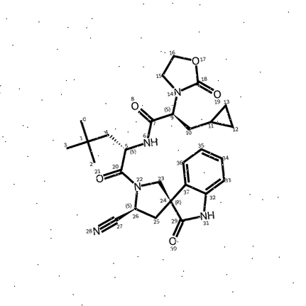 CC(C)(C)C[C@H](NC(=O)[C@H](CC1CC1)N1CCOC1=O)C(=O)N1C[C@]2(C[C@H]1C#N)C(=O)Nc1ccccc12